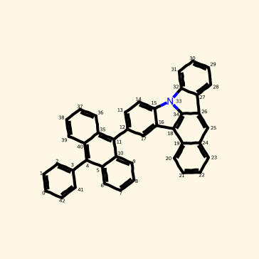 c1ccc(-c2c3ccccc3c(-c3ccc4c(c3)c3c5ccccc5cc5c6ccccc6n4c53)c3ccccc23)cc1